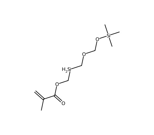 C=C(C)C(=O)OC[SiH2]COCO[Si](C)(C)C